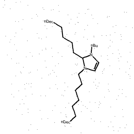 CCCCCCCCCCCCCCCCN1C=CN(CCCC)C1CCCCCCCCCCCCCC